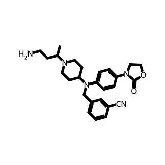 CC(CCN)N1CCC(N(Cc2cccc(C#N)c2)c2ccc(N3CCOC3=O)cc2)CC1